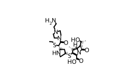 CCSC(C(=O)N1CCN(CCN)CC1)[C@@H]1C[C@H](SC2=C(C(=O)O)N3C(=O)[C@H]([C@@H](C)O)[C@H]3[C@H]2C)CN1